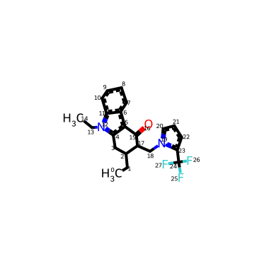 CCC1Cc2c(c3ccccc3n2CC)C(=O)C1Cn1cccc1C(F)(F)F